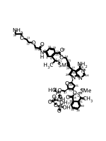 CSSC(C)c1cc(NC(=O)COCCOCCN)ccc1C(=O)OCC#Cc1cn([C@H]2CC(OC(=O)c3ccccc3C(C)SSC)[C@@H](COP(=O)(O)OP(=O)(O)OP(=O)(O)O)O2)c2ncnc(N)c12